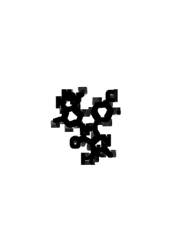 CCn1c(C)nc2c1C(=O)N(c1cc(C)c3nnn(C)c3c1)[C@H]2c1ccc(Cl)cc1